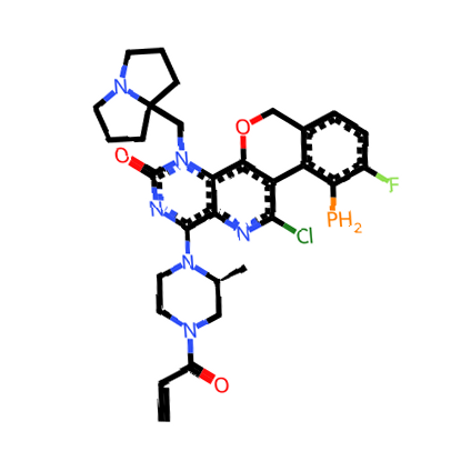 C=CC(=O)N1CCN(c2nc(=O)n(CC34CCCN3CCC4)c3c4c(c(Cl)nc23)-c2c(ccc(F)c2P)CO4)[C@@H](C)C1